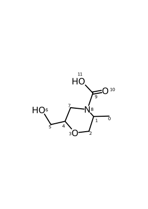 CC1COC(CO)CN1C(=O)O